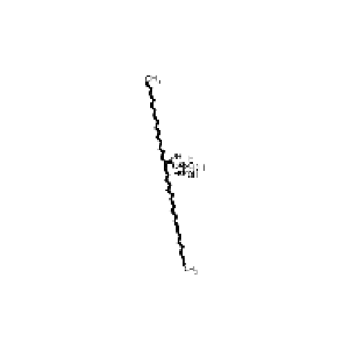 CCCCCCCCCCCCCCCCCCCCC(CCCCCCCCCCCCCCCC)C(=O)O.O=P(O)(O)O.[KH]